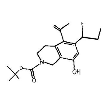 C=C(C)c1c(C(F)CC)cc(O)c2c1CCN(C(=O)OC(C)(C)C)C2